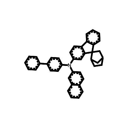 c1ccc(-c2ccc(N(c3ccc4c(c3)C3(CC5CCC3C5)c3ccccc3-4)c3ccc4ccccc4c3)cc2)cc1